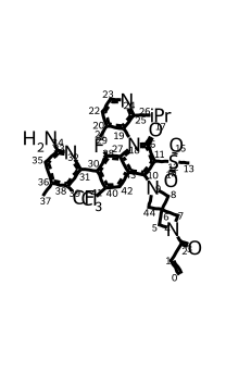 C=CC(=O)N1CC2(C1)CN(c1c(S(C)(=O)=O)c(=O)n(-c3c(C)ccnc3C(C)C)c3c(F)c(-c4nc(N)cc(C)c4C(F)(F)F)c(Cl)cc13)C2